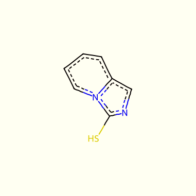 Sc1ncc2ccccn12